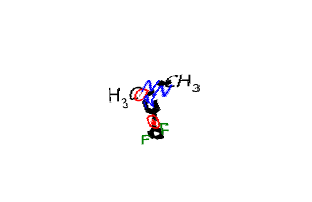 COc1ncc(C)nc1N1CCC(COc2cc(F)ccc2F)CC1